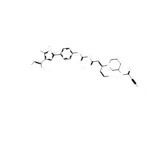 C=C(/C=C(\C=C/C)N1CCCC(NC(=O)C#CC)C1)NC(=O)Nc1ccc(-c2cc(/C(C)=C/CC)c(CC)[nH]2)cc1